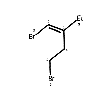 CCC(=CBr)CCBr